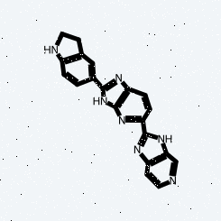 c1cc2nc(-c3ccc4nc(-c5ccc6c(c5)CCN6)[nH]c4n3)[nH]c2cn1